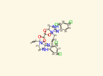 C#CC[N+]1(OC(=O)C(=O)O[N+]2(CC#C)CCNC2=Nc2ccc(Cl)cc2Cl)CCNC1=Nc1ccc(Cl)cc1Cl